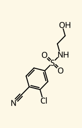 N#Cc1ccc(S(=O)(=O)NCCO)cc1Cl